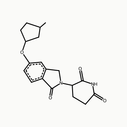 CC1CCC(Oc2ccc3c(c2)CN(C2CCC(=O)NC2=O)C3=O)C1